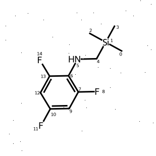 C[Si](C)(C)CNc1c(F)cc(F)cc1F